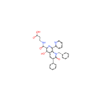 O=C(O)CCNC(=O)c1nc(-c2ccccn2)c2c(cc(-c3ccccc3)c(=O)n2Cc2ccccc2)c1O